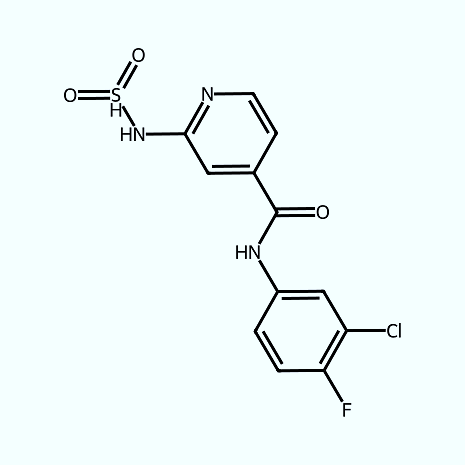 O=C(Nc1ccc(F)c(Cl)c1)c1ccnc(N[SH](=O)=O)c1